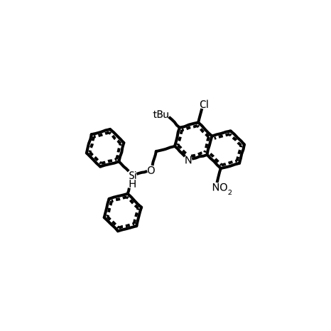 CC(C)(C)c1c(CO[SiH](c2ccccc2)c2ccccc2)nc2c([N+](=O)[O-])cccc2c1Cl